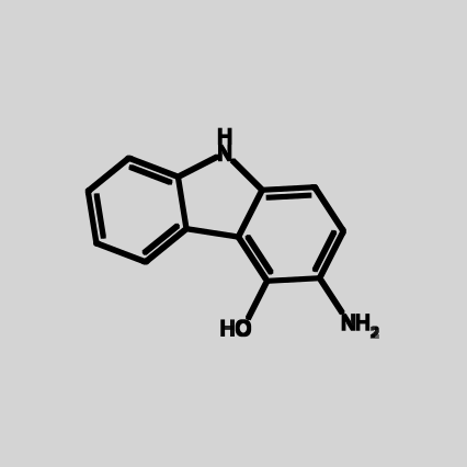 Nc1ccc2[nH]c3ccccc3c2c1O